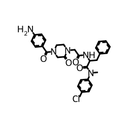 CN(C(=O)C(Cc1ccccc1)NC(=O)CN1CCN(C(=O)c2ccc(N)cc2)CC1=O)c1ccc(Cl)cc1